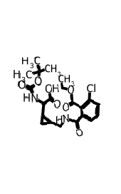 CCOC(=O)c1c(Cl)cccc1C(=O)NCC1CC1C(NC(=O)OC(C)(C)C)C(=O)O